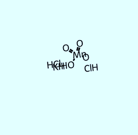 Cl.Cl.[KH].[O]=[Mn](=[O])(=[O])[OH]